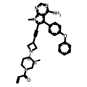 C=CC(=O)N1CC[C@H](N2CC(C#Cc3c(-c4ccc(Oc5ccccc5)cc4)c4c(N)ncnc4n3C)C2)[C@@H](C)C1